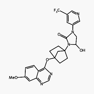 COc1ccc2c(OC34CCC(N5C(=O)N(c6cncc(C(F)(F)F)c6)CC5O)(CC3)C4)ncnc2c1